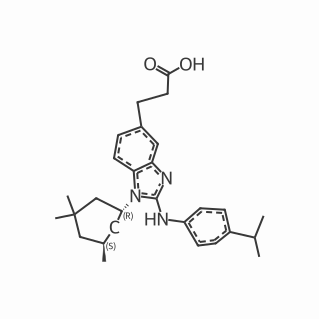 CC(C)c1ccc(Nc2nc3cc(CCC(=O)O)ccc3n2[C@@H]2C[C@@H](C)CC(C)(C)C2)cc1